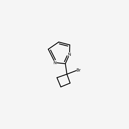 BrC1(c2ncccn2)CCC1